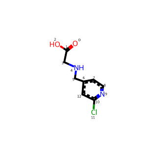 O=C(O)CNCc1ccnc(Cl)c1